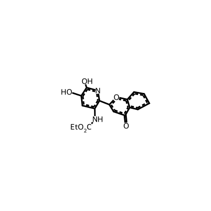 CCOC(=O)Nc1cc(O)c(O)nc1-c1cc(=O)c2ccccc2o1